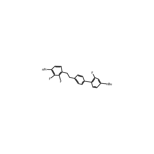 CCCCc1ccc(-c2ccc(CCc3ccc(CCC)c(F)c3F)cc2)c(F)c1